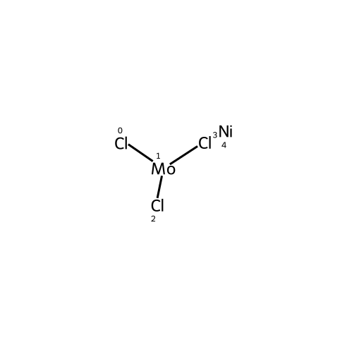 [Cl][Mo]([Cl])[Cl].[Ni]